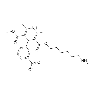 COC(=O)C1=C(C)NC(C)=C(C(=O)OCCCCCCN)C1c1cccc([N+](=O)[O-])c1